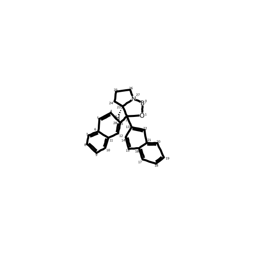 [B]1OC(c2ccc3ccccc3c2)(c2ccc3ccccc3c2)[C@H]2CCCN12